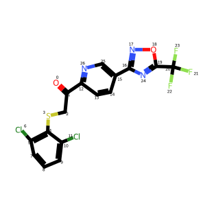 O=C(CSc1c(Cl)cccc1Cl)c1ccc(-c2noc(C(F)(F)F)n2)cn1